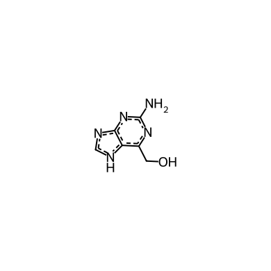 Nc1nc(CO)c2[nH]cnc2n1